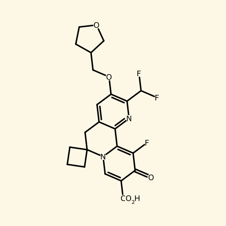 O=C(O)c1cn2c(c(F)c1=O)-c1nc(C(F)F)c(OCC3CCOC3)cc1CC21CCC1